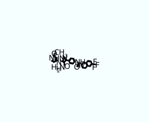 COc1cc(Nc2[nH]nc(-c3ccc(NC(=O)N4CCc5cc(C(F)(F)F)ccc5C4)cc3)c2C(N)=O)ccn1